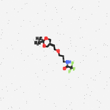 CC1(C)OCC(=CCOCCCNC(=O)C(F)(F)F)CO1